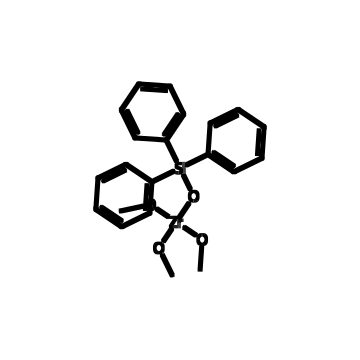 C[O][Zr]([O]C)([O]C)[O][Si](c1ccccc1)(c1ccccc1)c1ccccc1